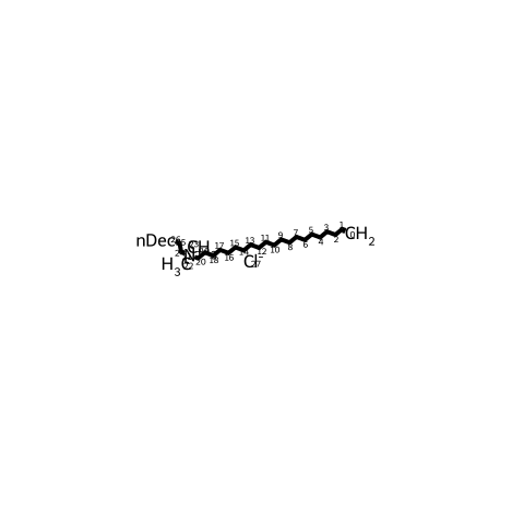 C=CCCCCCCCCCCCCCCCCCCC[N+](C)(C)CCCCCCCCCCCC.[Cl-]